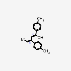 CC/C=C(\C=C(/O)c1ccc(C)cc1)c1ccc(C)cc1